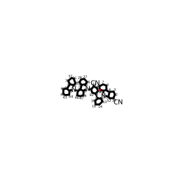 N#Cc1ccc2c3ccccc3n(-c3ccccc3-c3ccc(C#N)c(-n4c5ccccc5c5c(-n6c7ccccc7c7ccccc76)cccc54)c3)c2c1